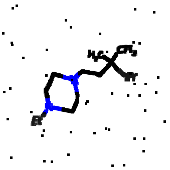 CCN1CCN(CCC(C)(C)C(C)C)CC1